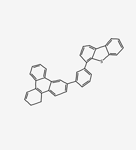 C1=Cc2c(c3ccc(-c4cccc(-c5cccc6c5sc5ccccc56)c4)cc3c3ccccc23)CC1